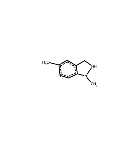 Cc1cc2c(cn1)N(C)NC2